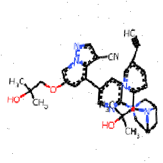 C#Cc1ccc(C(N2C3CC2CN(c2ccc(-c4cc(OCC(C)(C)O)cn5ncc(C#N)c45)cn2)C3)C(C)(C)O)nc1